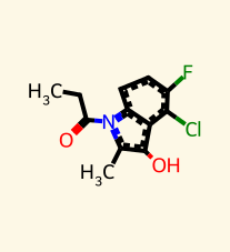 CCC(=O)n1c(C)c(O)c2c(Cl)c(F)ccc21